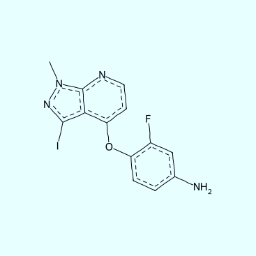 Cn1nc(I)c2c(Oc3ccc(N)cc3F)ccnc21